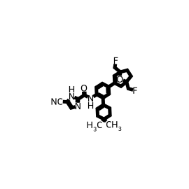 CC1(C)CC=C(c2cc(C3=CC4(CF)CCC(CF)(C3)O4)ccc2NC(=O)c2ncc(C#N)[nH]2)CC1